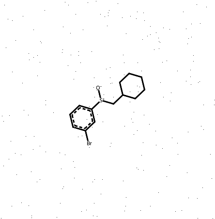 [O-][S+](CC1CCCCC1)c1cccc(Br)c1